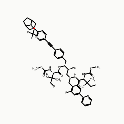 COC(=O)N[C@H](C(=O)N[C@@H](Cc1ccc(C#Cc2ccc(N3CC4CCC(C3)N4CC(F)(F)F)nc2)cc1)[C@@H](O)CN(Cc1c(F)cc(-c2ccccn2)cc1Cl)NC(=O)[C@@H](NC(=O)OC)C(C)(C)CF)C(C)(C)CF